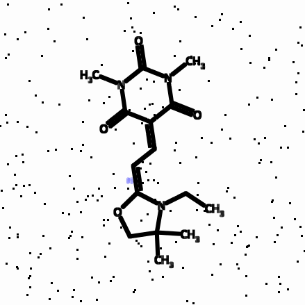 CCN1/C(=C\C=C2C(=O)N(C)C(=O)N(C)C2=O)OCC1(C)C